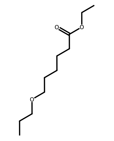 CCCOCCCCCC(=O)OCC